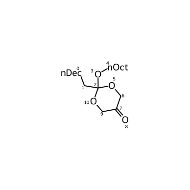 CCCCCCCCCCCC1(OCCCCCCCC)OCC(=O)CO1